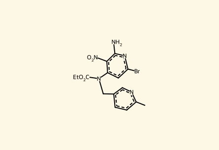 CCOC(=O)N(Cc1ccc(C)nc1)c1cc(Br)nc(N)c1[N+](=O)[O-]